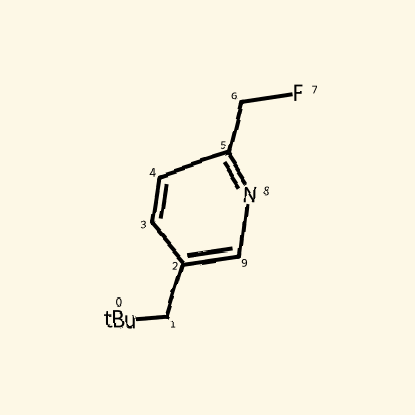 CC(C)(C)Cc1ccc(CF)nc1